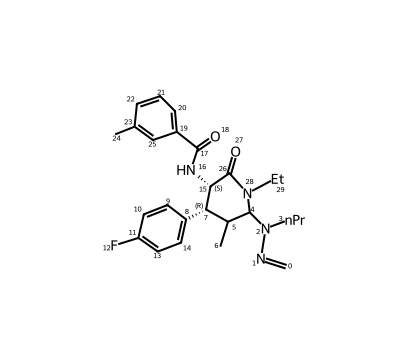 C=NN(CCC)C1C(C)[C@H](c2ccc(F)cc2)[C@H](NC(=O)c2cccc(C)c2)C(=O)N1CC